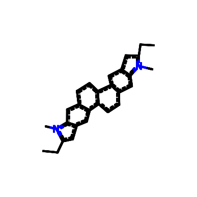 CCc1cc2cc3c(ccc4c5cc6cc(CC)n(C)c6cc5ccc34)cc2n1C